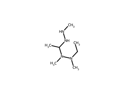 CCN(C)N(C)C(C)NNC